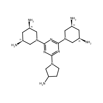 NC1CCN(c2nc(N3C[C@H](N)C[C@H](N)C3)nc(N3C[C@H](N)C[C@H](N)C3)n2)C1